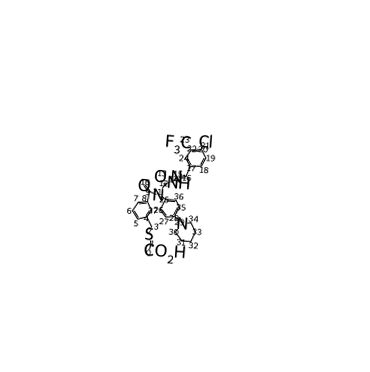 O=C(O)CSCc1cccc(C(=O)N(C(=O)NN=Cc2ccc(Cl)c(C(F)(F)F)c2)c2ccc(N3CCCCC3)cc2)c1